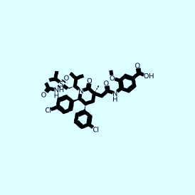 COc1cc(C(=O)O)ccc1NC(=O)C[C@@]1(C)C[C@H](c2cccc(Cl)c2)[C@@H](c2ccc(Cl)cc2)N([C@H](C[SH](=O)(NC(C)=O)C(C)C)C(C)C)C1=O